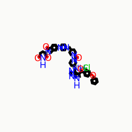 O=C1CC[C@H](N2Cc3cc(N4CCN(CC5CCN(C(=O)N6CCC[C@@H](Nc7ncnc8[nH]cc(C(=O)c9ccc(Oc%10ccccc%10)cc9Cl)c78)C6)CC5)CC4)ccc3C2=O)C(=O)N1